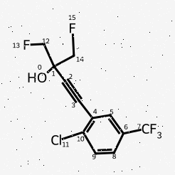 OC(C#Cc1cc(C(F)(F)F)ccc1Cl)(CF)CF